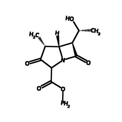 C[C@@H](O)[C@H]1C(=O)N2C(C(=O)OP)C(=O)[C@H](C)[C@H]12